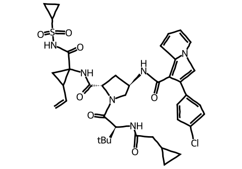 C=CC1CC1(NC(=O)[C@@H]1C[C@@H](NC(=O)c2c(-c3ccc(Cl)cc3)cn3ccccc23)CN1C(=O)[C@@H](NC(=O)CC1CC1)C(C)(C)C)C(=O)NS(=O)(=O)C1CC1